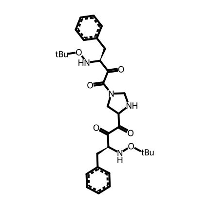 CC(C)(C)ON[C@@H](Cc1ccccc1)C(=O)C(=O)C1CN(C(=O)C(=O)[C@H](Cc2ccccc2)NOC(C)(C)C)CN1